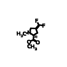 COC(=O)[C@@H]1CC(=C(F)F)CN1C